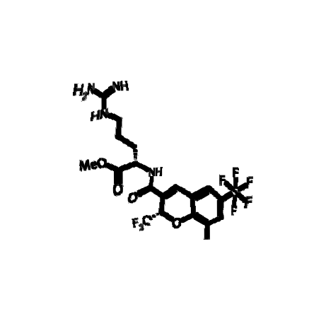 COC(=O)[C@H](CCCNC(=N)N)NC(=O)C1=Cc2cc(S(F)(F)(F)(F)F)cc(C)c2O[C@@H]1C(F)(F)F